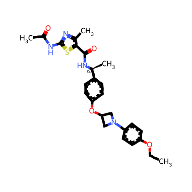 CCOc1ccc(N2CC(Oc3ccc([C@H](C)NC(=O)c4sc(NC(C)=O)nc4C)cc3)C2)cc1